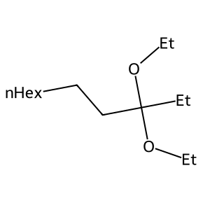 CCCCCCCCC(CC)(OCC)OCC